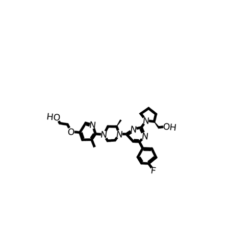 Cc1cc(OCCO)cnc1N1CCN(c2cc(-c3ccc(F)cc3)nc(N3CCC[C@H]3CO)n2)[C@H](C)C1